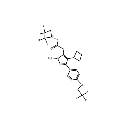 Cn1nc(-c2ccc(OCC(F)(F)F)cc2)c(C2CCC2)c1NC(=O)C[C@H]1CC(F)(F)C1(F)F